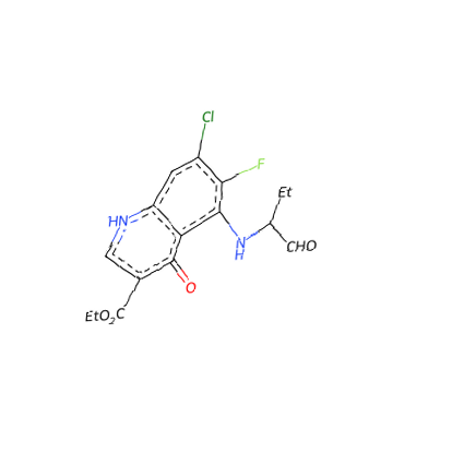 CCOC(=O)c1c[nH]c2cc(Cl)c(F)c(NC(C=O)CC)c2c1=O